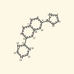 c1cnn(-c2ccc3ccc(-c4ncncn4)cc3c2)c1